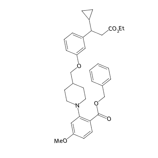 CCOC(=O)CC(c1cccc(OCC2CCN(c3cc(OC)ccc3C(=O)OCc3ccccc3)CC2)c1)C1CC1